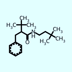 CC(C)(C)CCNC(=O)C(Cc1ccccc1)C(C)(C)C